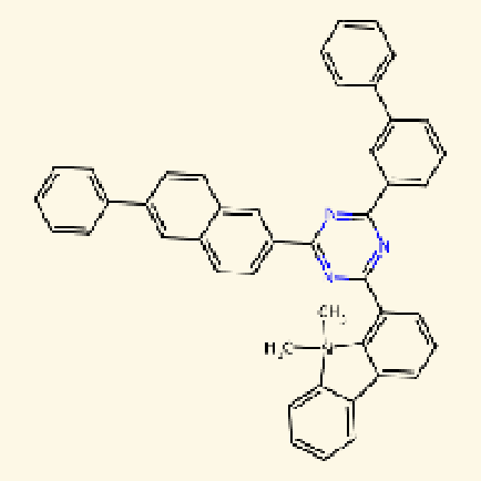 C[Si]1(C)c2ccccc2-c2cccc(-c3nc(-c4cccc(-c5ccccc5)c4)nc(-c4ccc5cc(-c6ccccc6)ccc5c4)n3)c21